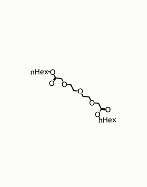 CCCCCCOC(=O)COCCOCCOCC(=O)OCCCCCC